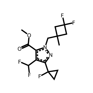 COC(=O)c1c(C(F)F)c(C2(F)CC2)nn1CC1(C)CC(F)(F)C1